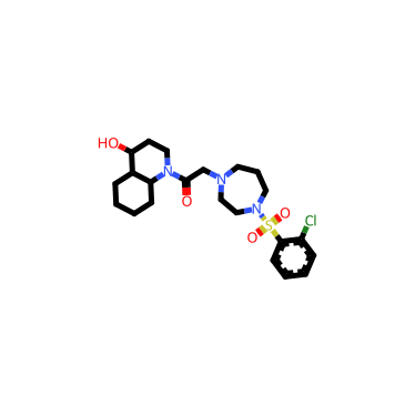 O=C(CN1CCCN(S(=O)(=O)c2ccccc2Cl)CC1)N1CCC(O)C2CCCCC21